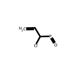 C=CC(Cl)P=O